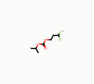 CC(C)OC(=O)OCCC(F)F